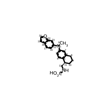 CN(c1ccc2c(c1)CCC[C@H]2CNC(=O)O)c1ccc2ccoc2c1